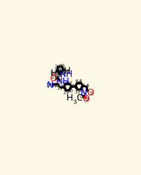 CC(=O)N1C(=O)Cc2ccc(-c3ccc(C[C@@H](C#N)NC(=O)[C@H]4N[C@@H]5CC[C@H]4C5)cc3)cc21